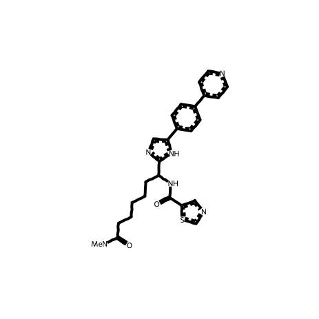 CNC(=O)CCCCCC(NC(=O)c1cncs1)c1ncc(-c2ccc(-c3ccncc3)cc2)[nH]1